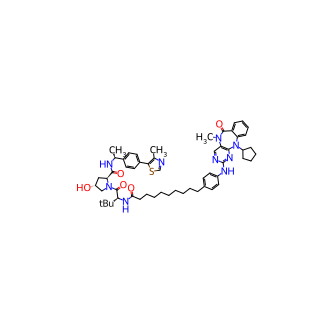 Cc1ncsc1-c1ccc([C@H](C)NC(=O)[C@@H]2C[C@@H](O)CN2C(=O)[C@@H](NC(=O)CCCCCCCCCc2ccc(Nc3ncc4c(n3)N(C3CCCC3)c3ccccc3C(=O)N4C)cc2)C(C)(C)C)cc1